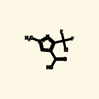 Cn1cc(C(=O)O)c(C(F)(F)Cl)n1